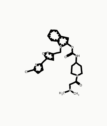 CN(C)CC(=O)N1CCC(NC(=O)Oc2cc3ccccc3n2Cc2cc(-c3ccc(Cl)s3)on2)CC1